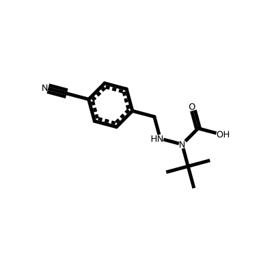 CC(C)(C)N(NCc1ccc(C#N)cc1)C(=O)O